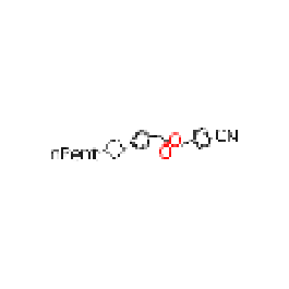 CCCCC[C@H]1CC[C@H](c2ccc(CC(=O)OCc3ccc(C#N)cc3)cc2)CC1